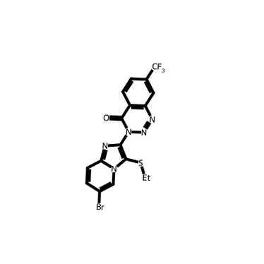 CCSc1c(-n2nnc3cc(C(F)(F)F)ccc3c2=O)nc2ccc(Br)cn12